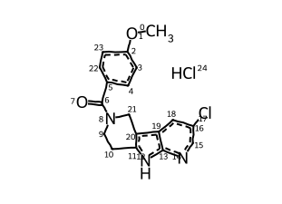 COc1ccc(C(=O)N2CCc3[nH]c4ncc(Cl)cc4c3C2)cc1.Cl